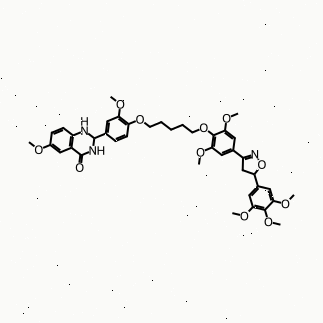 COc1ccc2c(c1)C(=O)NC(c1ccc(OCCCCCOc3c(OC)cc(C4=NOC(c5cc(OC)c(OC)c(OC)c5)C4)cc3OC)c(OC)c1)N2